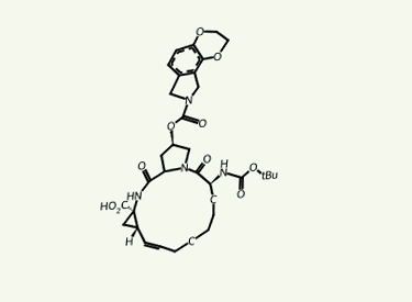 CC(C)(C)OC(=O)N[C@H]1CCCCC/C=C\[C@@H]2C[C@@]2(C(=O)O)NC(=O)C2C[C@@H](OC(=O)N3Cc4ccc5c(c4C3)OCCO5)CN2C1=O